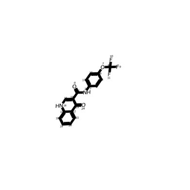 O=C(Nc1ccc(OC(F)(F)F)cc1)c1c[nH]c2ccccc2c1=O